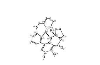 O=C1c2c(O)c(=O)ccn2N([C@@H]2c3ccccc3CSc3ccccc32)[C@@H]2CCCN12